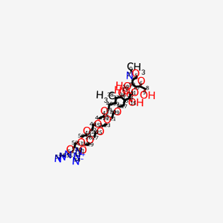 CC1=NC2C(O1)OC(CO)C(OC(O)C(O)C(CCOCCOCCOCCOCCON=[N+]=[N-])C(O)C(C)CCCOCCOCCOCCOCCON=[N+]=[N-])C2O